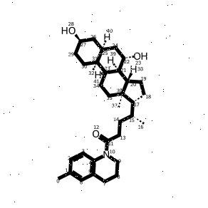 Cc1ccc2c(c1)CCCN2C(=O)CC[C@@H](C)[C@H]1CC[C@H]2[C@@H]3[C@@H](O)C[C@@H]4C[C@H](O)CC[C@]4(C)[C@H]3CC[C@]12C